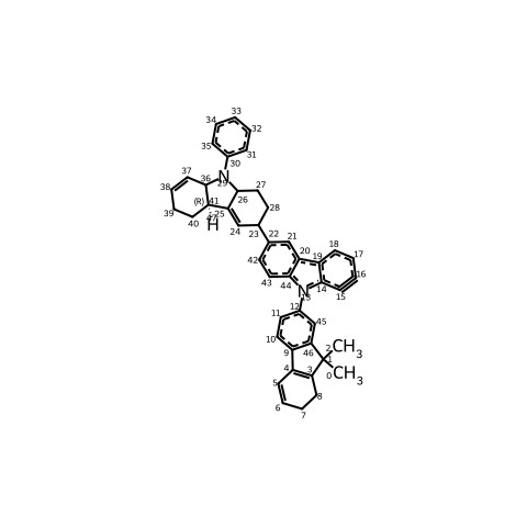 CC1(C)C2=C(C=CCC2)c2ccc(-n3c4c#cccc4c4cc(C5C=C6C(CC5)N(c5ccccc5)C5C=CCC[C@H]65)ccc43)cc21